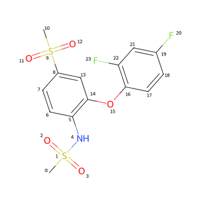 CS(=O)(=O)Nc1ccc(S(C)(=O)=O)cc1Oc1ccc(F)cc1F